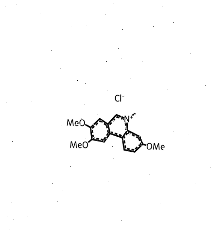 COc1ccc2c3cc(OC)c(OC)cc3c[n+](C)c2c1.[Cl-]